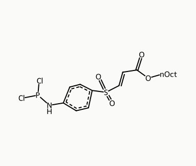 CCCCCCCCOC(=O)C=CS(=O)(=O)c1ccc(NP(Cl)Cl)cc1